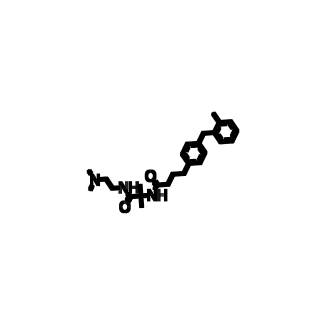 Cc1ccccc1Cc1ccc(CCCC(=O)NC(C)(C)C(=O)NCCN(C)C)cc1